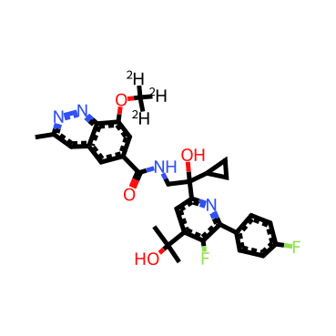 [2H]C([2H])([2H])Oc1cc(C(=O)NCC(O)(c2cc(C(C)(C)O)c(F)c(-c3ccc(F)cc3)n2)C2CC2)cc2cc(C)nnc12